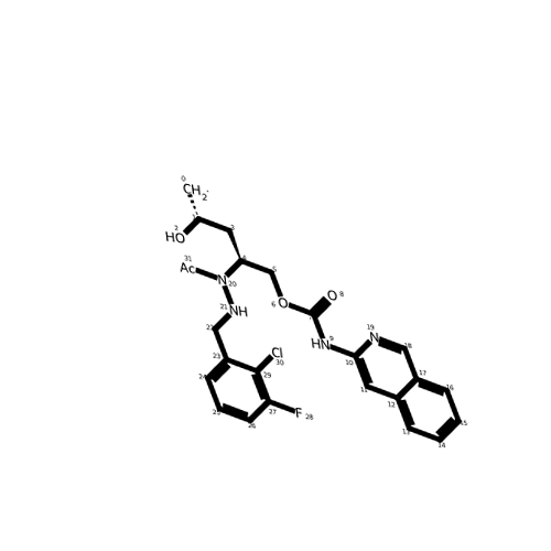 [CH2][C@@H](O)C[C@@H](COC(=O)Nc1cc2ccccc2cn1)N(NCc1cccc(F)c1Cl)C(C)=O